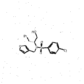 CC(C)C[C@H](CO)N(Cc1ccoc1)S(=O)(=O)c1ccc(Cl)cc1